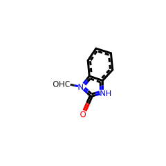 O=Cn1c(=O)[nH]c2ccccc21